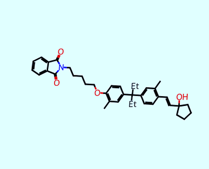 CCC(CC)(c1ccc(/C=C/C2(O)CCCC2)c(C)c1)c1ccc(OCCCCCN2C(=O)c3ccccc3C2=O)c(C)c1